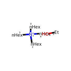 CCCCCC[N+](CCCCCC)(CCCCCC)CCCCCC.CCO